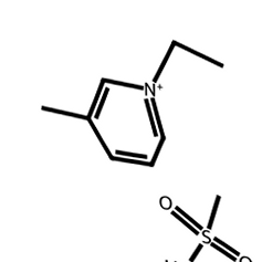 CC[n+]1cccc(C)c1.CS(=O)(=O)O